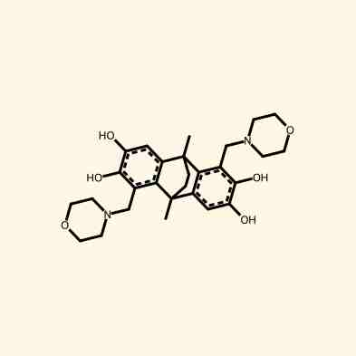 CC12CCC(C)(c3cc(O)c(O)c(CN4CCOCC4)c31)c1c2cc(O)c(O)c1CN1CCOCC1